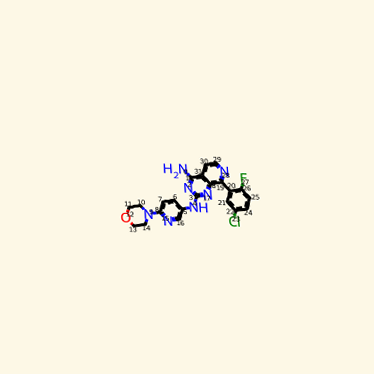 Nc1nc(Nc2ccc(N3CCOCC3)nc2)nc2c(-c3cc(Cl)ccc3F)nccc12